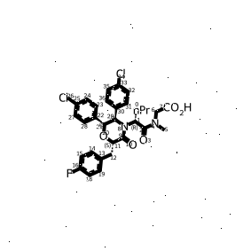 CCC[C@H](C(=O)N(C)CC(=O)O)N1C(=O)[C@H](Cc2ccc(F)cc2)O[C@@H](c2ccc(Cl)cc2)[C@H]1c1ccc(Cl)cc1